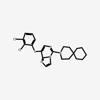 Clc1cccc(Sc2cnc(N3CCC4(CCCCC4)CC3)n3ccnc23)c1Cl